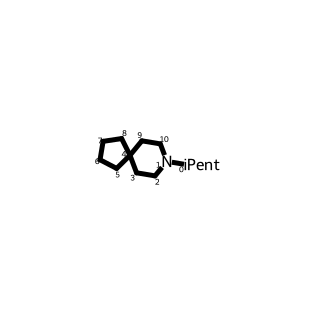 CCCC(C)N1CCC2(CCCC2)CC1